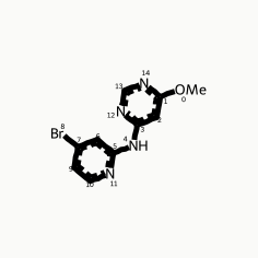 COc1cc(Nc2cc(Br)ccn2)ncn1